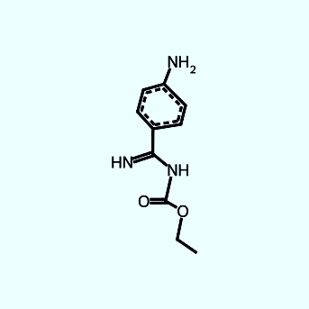 CCOC(=O)NC(=N)c1ccc(N)cc1